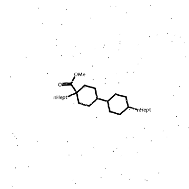 CCCCCCCC1CCC(C2CCC(CCCCCCC)(C(=O)OC)CC2)CC1